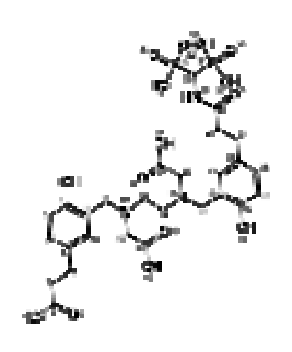 O=C(O)CCc1ccc(O)c(CN(CCN(CC(=O)O)Cc2cc(CCC(=O)NC(P(=O)(O)O)P(=O)(O)O)ccc2O)CC(=O)O)c1